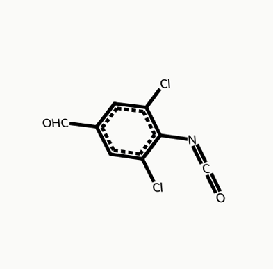 O=C=Nc1c(Cl)cc(C=O)cc1Cl